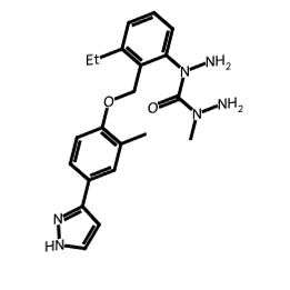 CCc1cccc(N(N)C(=O)N(C)N)c1COc1ccc(-c2cc[nH]n2)cc1C